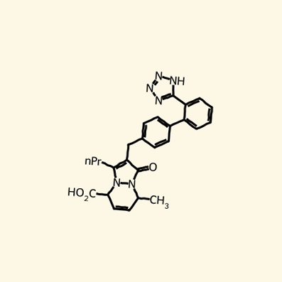 CCCc1c(Cc2ccc(-c3ccccc3-c3nnn[nH]3)cc2)c(=O)n2n1C(C(=O)O)C=CC2C